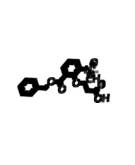 CC(CC(=O)O)Oc1c(C(=O)OCc2ccccc2)cccc1[N+](=O)[O-]